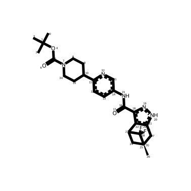 CC(C)(C)OC(=O)N1CCC(c2ccc(NC(=O)c3n[nH]c4c3C3C[C@@](C)(C4)C3(F)F)cn2)CC1